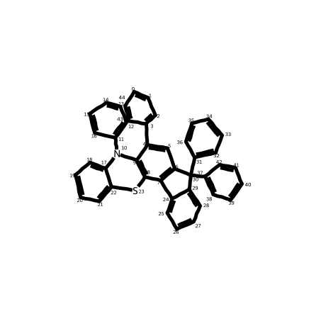 c1ccc(-c2cc3c(c4c2N(c2ccccc2)c2ccccc2S4)-c2ccccc2C3(c2ccccc2)c2ccccc2)cc1